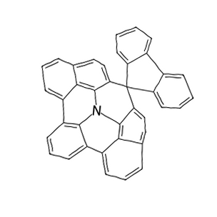 c1ccc2c(c1)-c1ccccc1C21c2ccc3cccc4c3c2N2c3c-4cccc3-c3cccc4ccc1c2c34